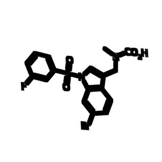 CN(Cc1cn(S(=O)(=O)c2cccc(F)c2)c2cc(Br)ccc12)C(=O)O